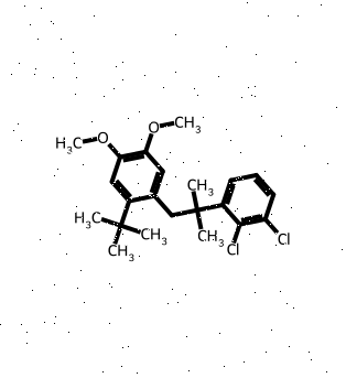 COc1cc(CC(C)(C)c2cccc(Cl)c2Cl)c(C(C)(C)C)cc1OC